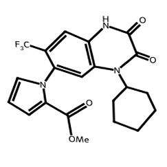 COC(=O)c1cccn1-c1cc2c(cc1C(F)(F)F)[nH]c(=O)c(=O)n2C1CCCCC1